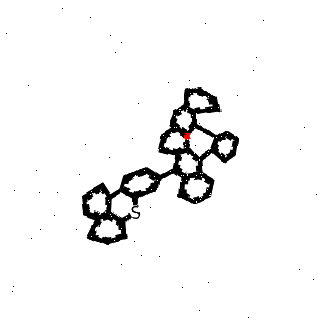 c1ccc(-c2c3ccccc3c(-c3ccc4c(c3)Sc3cccc5cccc-4c35)c3ccccc23)c(-c2cccc3ccccc23)c1